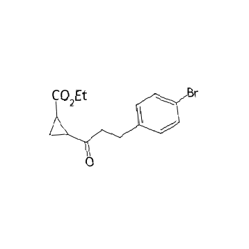 CCOC(=O)C1CC1C(=O)CCc1ccc(Br)cc1